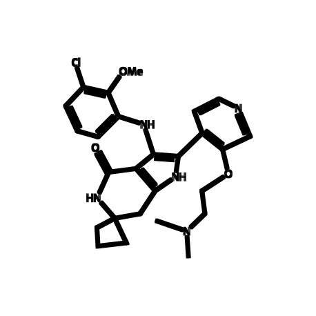 COc1c(Cl)cccc1Nc1c(-c2ccncc2OCCN(C)C)[nH]c2c1C(=O)NC1(CCC1)C2